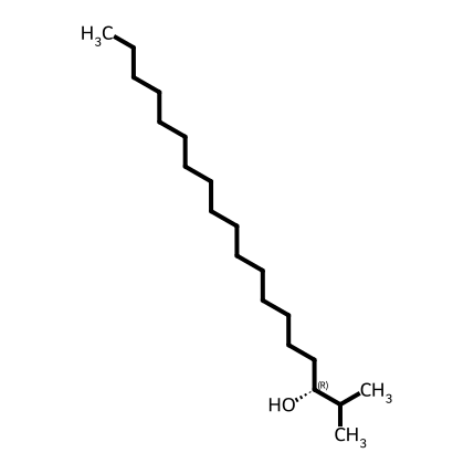 CCCCCCCCCCCCCCCC[C@@H](O)C(C)C